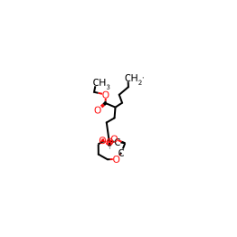 [CH2]CCCC(CC[C]1OC2CCOCC(CCOC2)O1)C(=O)OCC